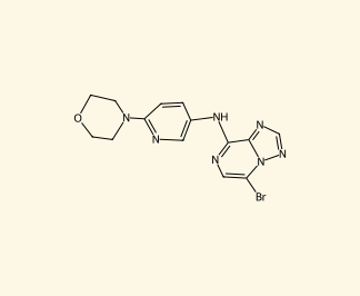 Brc1cnc(Nc2ccc(N3CCOCC3)nc2)c2ncnn12